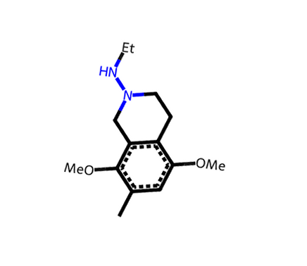 CCNN1CCc2c(OC)cc(C)c(OC)c2C1